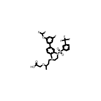 CC(CCN1CCN(S(=O)(=O)c2cccc(C(F)(F)F)c2)c2cc(-c3cc(F)cc(OC(F)F)c3)ccc21)OCC(=O)O